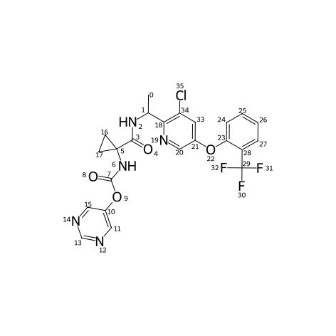 CC(NC(=O)C1(NC(=O)Oc2cncnc2)CC1)c1ncc(Oc2ccccc2C(F)(F)F)cc1Cl